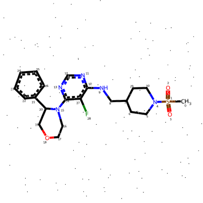 CS(=O)(=O)N1CCC(CNc2ncnc(N3CCOCC3c3ccccc3)c2F)CC1